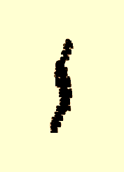 CCCCCCCCOc1ccc(-c2ncc(-c3ccc(OCC(F)CCCCCCCC)cc3)cn2)cc1